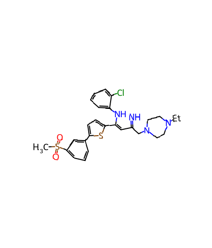 CCN1CCN(CC(=N)/C=C(\Nc2ccccc2Cl)c2ccc(-c3cccc(S(C)(=O)=O)c3)s2)CC1